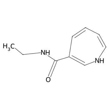 CCNC(=O)C1=CNC=CC=C1